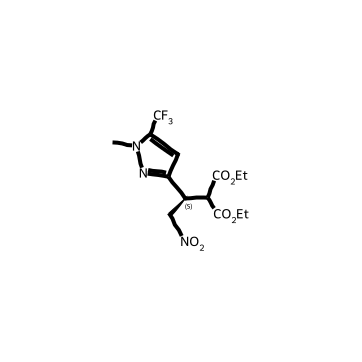 CCOC(=O)C(C(=O)OCC)[C@@H](C[N+](=O)[O-])c1cc(C(F)(F)F)n(C)n1